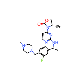 CC(C)[C@H]1COC(=O)N1c1ccnc(N[C@@H](C)c2ccc(CN3CCN(C)CC3)c(F)c2)n1